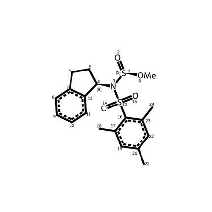 CO[S@](=O)N([C@@H]1CCc2ccccc21)S(=O)(=O)c1c(C)cc(C)cc1C